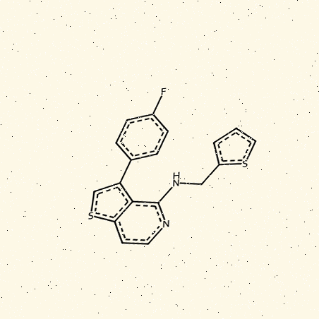 Fc1ccc(-c2csc3ccnc(NCc4cccs4)c23)cc1